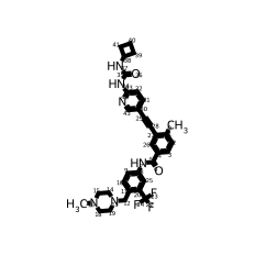 Cc1ccc(C(=O)Nc2ccc(CN3CCN(C)CC3)c(C(F)(F)F)c2)cc1C#Cc1ccc(NC(=O)NC2CCC2)nc1